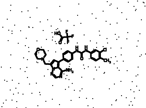 Cc1ccc(NC(=O)Nc2ccc(-c3cc(CN4CCOCC4)n4ncnc(N)c34)cc2)cc1Cl.O=C(O)C(F)(F)F